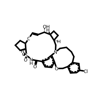 O=C1NS(=O)(=O)[C@@H]2CCCC2C/C=C/[C@H](O)[C@@H]2CC[C@H]2CN2CCCCc3cc(Cl)ccc3COc3ccc1cc32